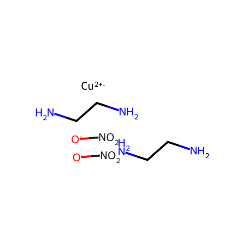 NCCN.NCCN.O=[N+]([O-])[O-].O=[N+]([O-])[O-].[Cu+2]